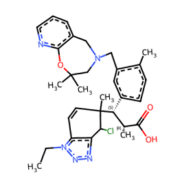 CCn1nnc2c1C=CC(C)([C@H](c1ccc(C)c(CN3Cc4cccnc4OC(C)(C)C3)c1)[C@@H](C)C(=O)O)C2Cl